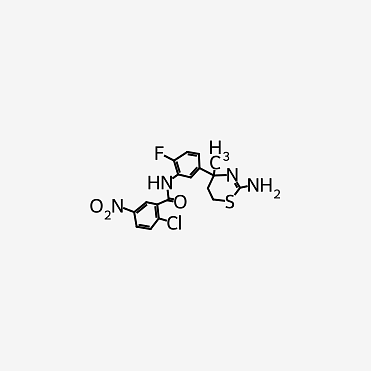 CC1(c2ccc(F)c(NC(=O)c3cc([N+](=O)[O-])ccc3Cl)c2)CCSC(N)=N1